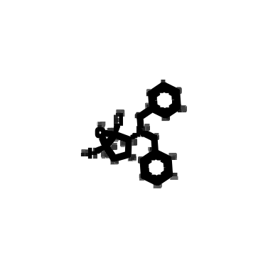 c1ccc(CN(Cc2ccccc2)[C@@H]2CC[C@@H]3O[C@@H]32)cc1